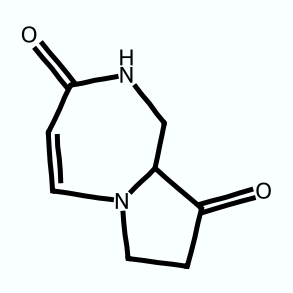 O=C1C=CN2CCC(=O)C2CN1